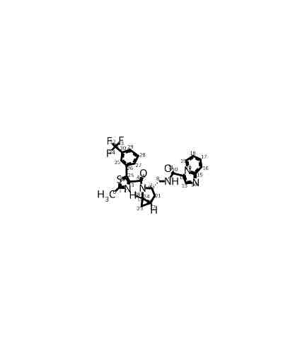 Cc1nc(C(=O)N2[C@H](CNC(=O)c3cnc4ccccn34)C[C@@H]3C[C@@H]32)c(-c2cccc(C(F)(F)F)c2)s1